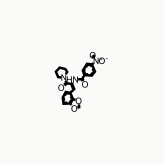 O=C(N/C(=C/c1cccc2c1OCO2)C(=O)N1CCCCC1)c1ccc([N+](=O)[O-])cc1